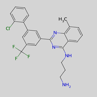 Cc1cccc2c(NCCCN)nc(-c3cc(-c4ccccc4Cl)cc(C(F)(F)F)c3)nc12